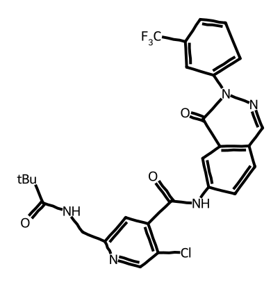 CC(C)(C)C(=O)NCc1cc(C(=O)Nc2ccc3cnn(-c4cccc(C(F)(F)F)c4)c(=O)c3c2)c(Cl)cn1